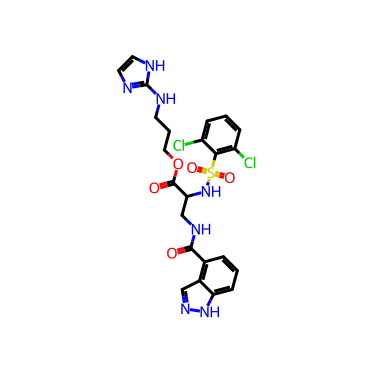 O=C(NCC(NS(=O)(=O)c1c(Cl)cccc1Cl)C(=O)OCCCNc1ncc[nH]1)c1cccc2[nH]ncc12